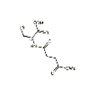 COC(=O)CCC(=O)N[C@@H](CC(C)C)C(=O)OC